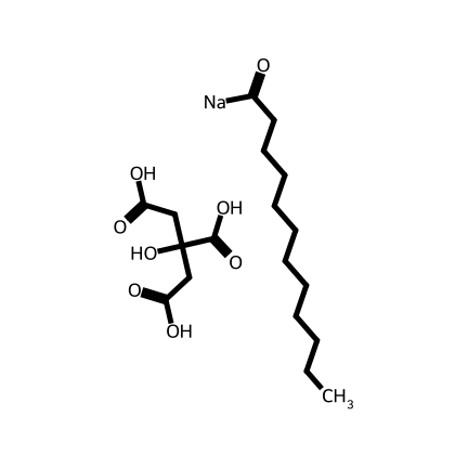 CCCCCCCCCCC[C](=O)[Na].O=C(O)CC(O)(CC(=O)O)C(=O)O